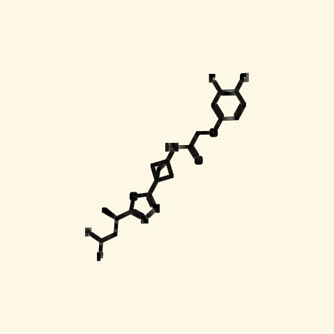 C[C@H](CC(F)F)c1nnc(C23CC(NC(=O)COc4ccc(Cl)c(F)c4)(C2)C3)o1